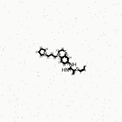 C=C(S/C=C\C)C(=N)Nc1ccc2c(c1)SCCN2CCCN1CCCC1